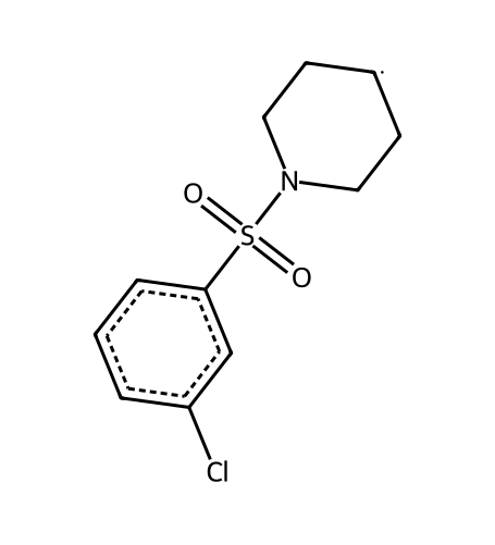 O=S(=O)(c1cccc(Cl)c1)N1CC[CH]CC1